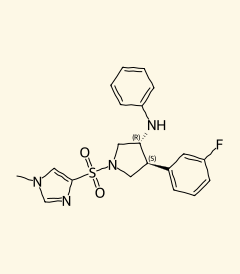 Cn1cnc(S(=O)(=O)N2C[C@H](Nc3ccccc3)[C@@H](c3cccc(F)c3)C2)c1